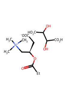 CCC(=O)O[C@H](CC(=O)[O-])C[N+](C)(C)C.O=C(O)C(O)C(O)C(=O)O